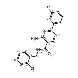 Nc1nc(-c2cccc(F)c2)ncc1C(=O)NCc1ccccc1Cl